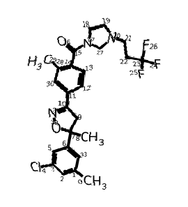 Cc1cc(Cl)cc(C2(C)CC(c3ccc(C(=O)N4CCN(CCC(F)(F)F)C4)c(C)c3)=NO2)c1